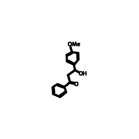 COc1ccc(C(O)CC(=O)c2ccccc2)cc1